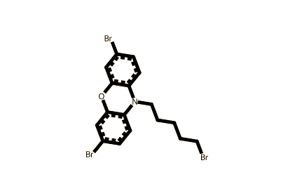 BrCCCCCN1c2ccc(Br)cc2Oc2cc(Br)ccc21